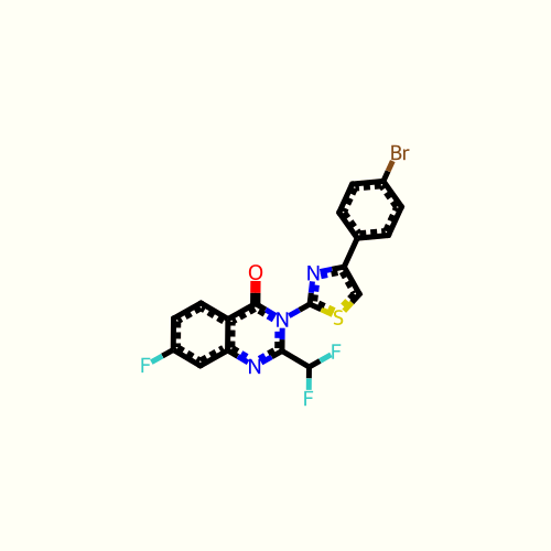 O=c1c2ccc(F)cc2nc(C(F)F)n1-c1nc(-c2ccc(Br)cc2)cs1